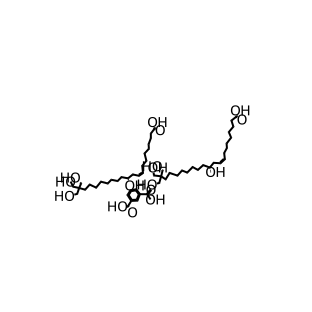 O=C(O)CCCCCCC/C=C\C[C@H](O)CCCCCCCCC(CO)(CO)CO.O=C(O)CCCCCCC/C=C\C[C@H](O)CCCCCCCCC(CO)(CO)CO.O=C(O)c1cccc(C(=O)O)c1